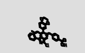 CCCC1C(c2ccc3c(c2)OCCO3)N(Cc2ccc(C(=O)O)cc2)Cc2c(Cl)nc(-c3ccccc3)n21